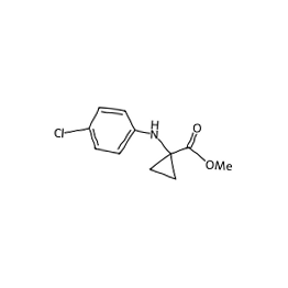 COC(=O)C1(Nc2ccc(Cl)cc2)CC1